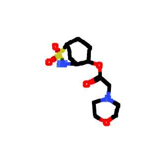 O=C(CN1CCOCC1)OC1CCC2CC1NS2(=O)=O